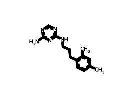 Cc1ccc(CCCNc2ncnc(N)n2)c(C)c1